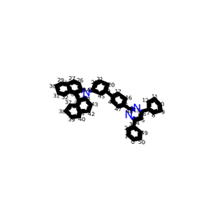 c1ccc(-c2cc(-c3ccccc3)nc(-c3ccc(-c4cccc(-n5c6ccc7ccccc7c6c6c7ccccc7ccc65)c4)cc3)n2)cc1